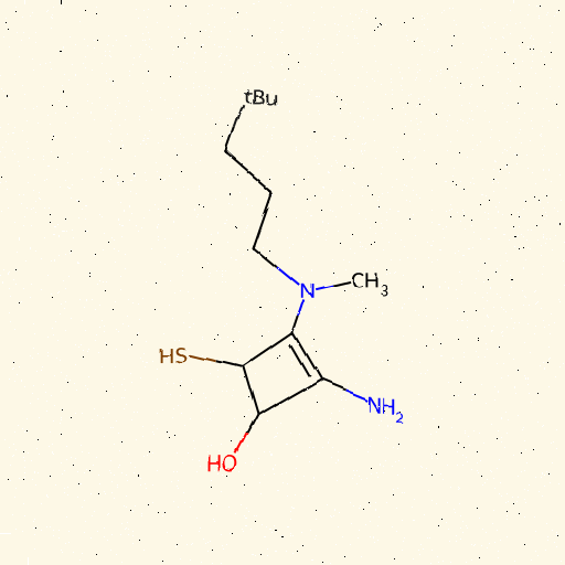 CN(CCCC(C)(C)C)C1=C(N)C(O)C1S